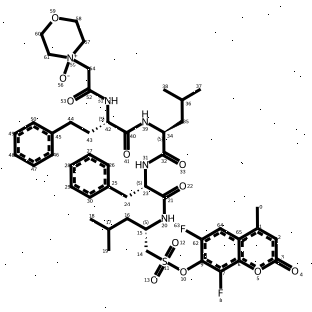 Cc1cc(=O)oc2c(F)c(OS(=O)(=O)C[C@H](CC(C)C)NC(=O)[C@H](Cc3ccccc3)NC(=O)[C@H](CC(C)C)NC(=O)[C@H](CCc3ccccc3)NC(=O)C[N+]3([O-])CCOCC3)c(F)cc12